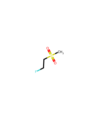 CS(=O)(=O)CCF